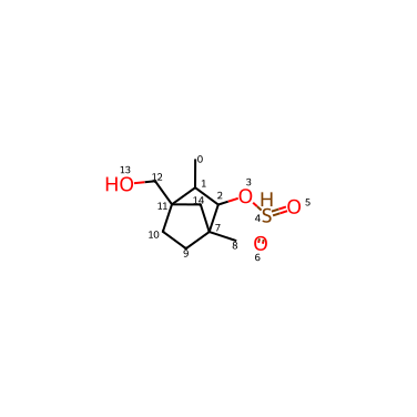 CC1C(O[SH](=O)=O)C2(C)CCC1(CO)C2